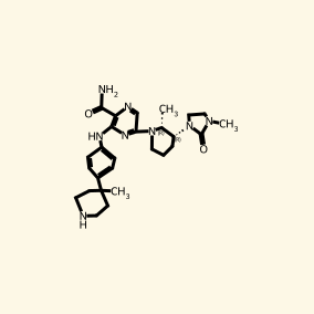 C[C@@H]1[C@H](N2CCN(C)C2=O)CCCN1c1cnc(C(N)=O)c(Nc2ccc(C3(C)CCNCC3)cc2)n1